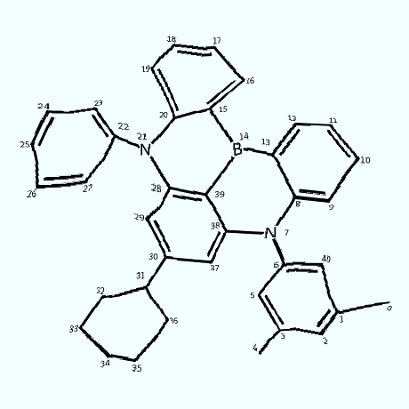 Cc1cc(C)cc(N2c3ccccc3B3c4ccccc4N(c4ccccc4)c4cc(C5CCCCC5)cc2c43)c1